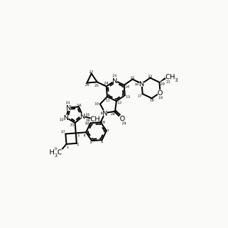 CC1CC(c2cccc(N3Cc4c(cc(CN5CCO[C@H](C)C5)nc4C4CC4)C3=O)c2)(c2nncn2C)C1